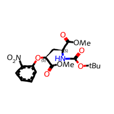 COC(=O)[C@H](C[C@H](Oc1ccccc1[N+](=O)[O-])C(=O)OC)NC(=O)OC(C)(C)C